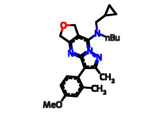 CCCCN(CC1CC1)c1c2c(nc3c(-c4ccc(OC)cc4C)c(C)nn13)COC2